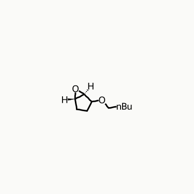 CCCCCOC1CC[C@@H]2O[C@@H]12